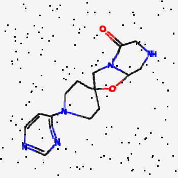 O=C1CNCC2OC3(CCN(c4ccncn4)CC3)CN12